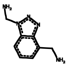 NCc1cccc2c1nnn2CN